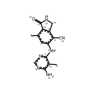 Cc1cc(Nc2ncnc(N)c2C)c(C#N)c2c1C(=O)NC2